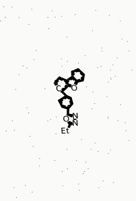 CCc1nnc(-c2ccc(-c3cccc4c3oc3ccccc34)cc2)o1